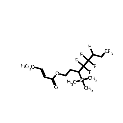 C[Si](C)(C)C(CCOC(=O)C=CC(=O)O)C(F)(F)C(F)(F)C(F)CC(F)(F)F